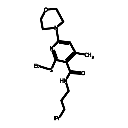 CCSc1nc(N2CCOCC2)cc(C)c1C(=O)NCCCC(C)C